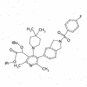 Cc1nc(C)c(C(OC(C)(C)C)C(=O)OC(C)C)c(N2CCC(C)(C)CC2)c1-c1ccc2c(c1)CN(S(=O)(=O)c1ccc(F)cc1)C2